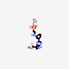 CC(C)(C)C(=O)c1c[nH]c2ncc(-c3cccc(NCCS(C)(=O)=O)c3)nc12